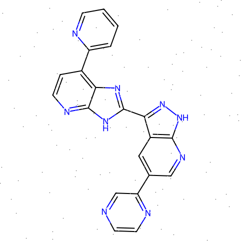 c1ccc(-c2ccnc3[nH]c(-c4n[nH]c5ncc(-c6cnccn6)cc45)nc23)nc1